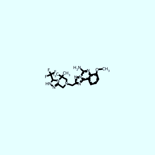 COc1cccc2c1nc(N)n1nc(CN3CC4=NNC(C(F)(F)F)N4C(C)(C)C3)nc21